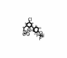 O=S1(=O)CCc2cc(Cl)cc(-c3ccc(OC(F)(F)F)cc3)c2N1